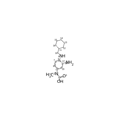 CN(C(=O)O)c1ccc(NCC2CCCCC2)c(N)c1